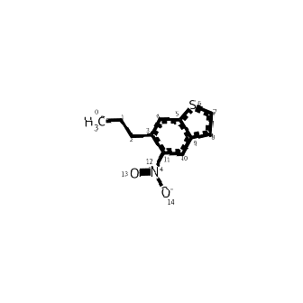 CCCc1cc2sccc2cc1[N+](=O)[O-]